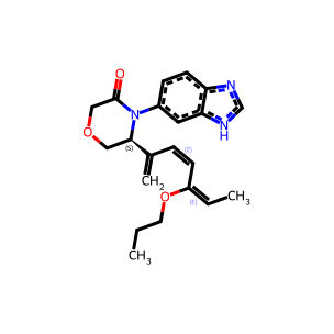 C=C(/C=C\C(=C/C)OCCC)[C@H]1COCC(=O)N1c1ccc2nc[nH]c2c1